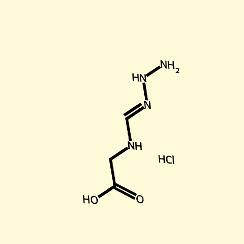 Cl.NNN=CNCC(=O)O